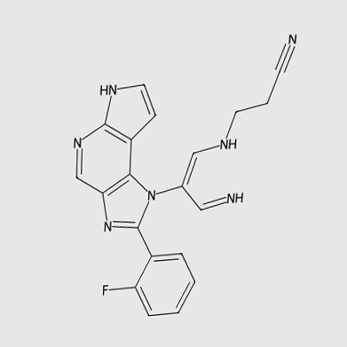 N#CCCN/C=C(\C=N)n1c(-c2ccccc2F)nc2cnc3[nH]ccc3c21